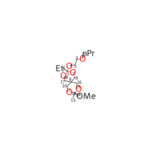 CCCOCCOC1(CC)OCC2(COC(C)(OC)OC2)CO1